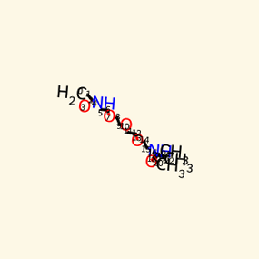 C=CC(=O)NCCOCCOCCOCCNC(=O)C(C)(C)C